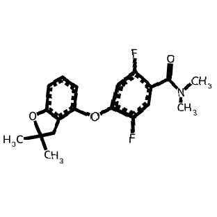 CN(C)C(=O)c1cc(F)c(Oc2cccc3c2CC(C)(C)O3)cc1F